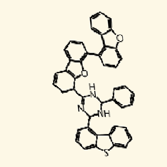 C1=Cc2c(oc3c(-c4cccc5oc6ccccc6c45)cccc23)C(C2=NC(c3cccc4sc5ccccc5c34)NC(c3ccccc3)N2)C1